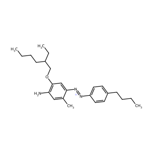 CCCCc1ccc(/N=N/c2cc(OCC(CC)CCCC)c(N)cc2C)cc1